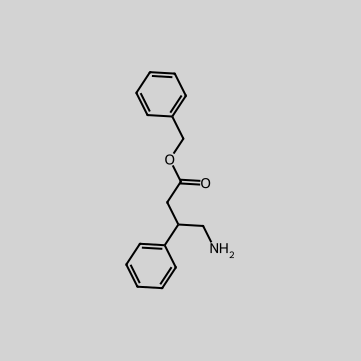 NCC(CC(=O)OCc1ccccc1)c1ccccc1